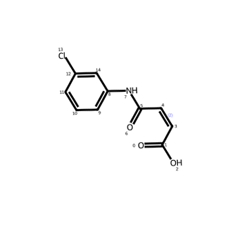 O=C(O)/C=C\C(=O)Nc1cccc(Cl)c1